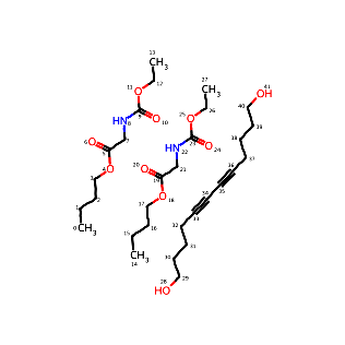 CCCCOC(=O)CNC(=O)OCC.CCCCOC(=O)CNC(=O)OCC.OCCCCC#CC#CCCCCO